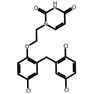 O=c1ccn(CCOc2ccc(Cl)cc2Cc2cc(Cl)ccc2Cl)c(=O)[nH]1